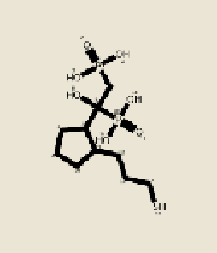 O=P(O)(O)CC(O)(C1CCCC1CCCS)P(=O)(O)O